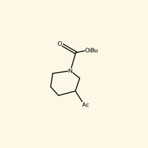 CC(=O)C1CCCN(C(=O)OCC(C)C)C1